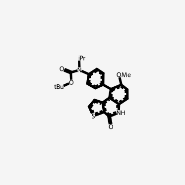 COc1ccc2[nH]c(=O)c3sccc3c2c1-c1ccc(N(C(=O)OC(C)(C)C)C(C)C)cc1